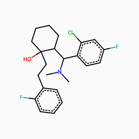 CN(C)C(c1ccc(F)cc1Cl)C1CCCCC1(O)CCc1ccccc1F